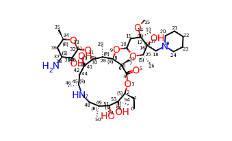 CC[C@@H]1OC(=O)[C@H](C)[C@H](OC2C[C@@](C)(OC)[C@](O)(CN3CCCCC3)[C@H](C)O2)[C@@H](C)[C@@H](O[C@@H]2O[C@H](C)C[C@H](N)[C@H]2O)[C@](C)(O)C[C@@H](C)NC[C@@H](C)[C@H](O)[C@]1(C)O